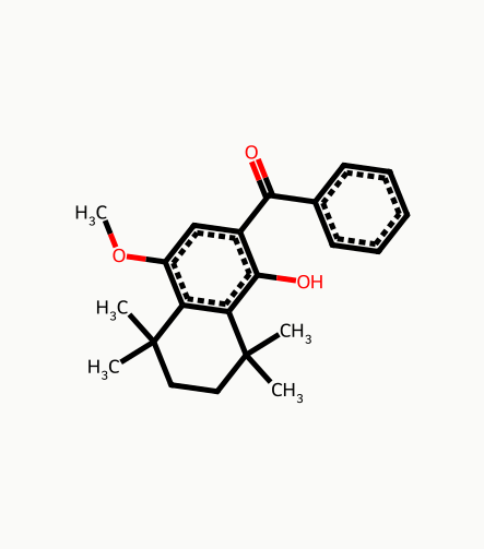 COc1cc(C(=O)c2ccccc2)c(O)c2c1C(C)(C)CCC2(C)C